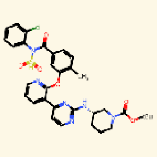 Cc1ccc(C(=O)N(c2ccccc2Cl)[SH](=O)=O)cc1Oc1ncccc1-c1ccnc(N[C@H]2CCCN(C(=O)OC(C)(C)C)C2)n1